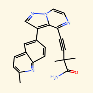 Cc1ccc2cc(-c3cnn4ccnc(C#CC(C)(C)C(N)=O)c34)ccc2n1